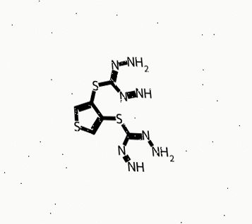 N=NC(=NN)Sc1cscc1SC(N=N)=NN